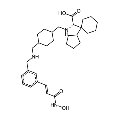 O=C(C=Cc1cccc(CNCC2CCC(CN[C@H](C(=O)O)C3(C4CCCC4)CCCCC3)CC2)c1)NO